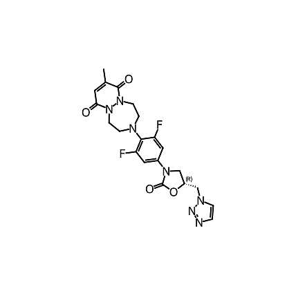 Cc1cc(=O)n2n(c1=O)CCN(c1c(F)cc(N3C[C@H](Cn4ccnn4)OC3=O)cc1F)CC2